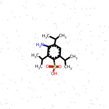 CC(C)c1cc(C(C)C)c(S(=O)(=O)O)c(C(C)C)c1N